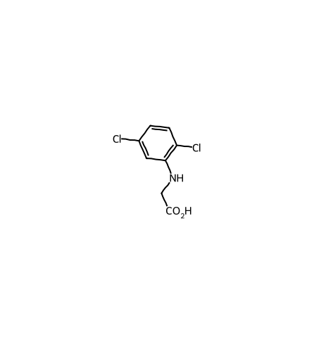 O=C(O)CNc1cc(Cl)ccc1Cl